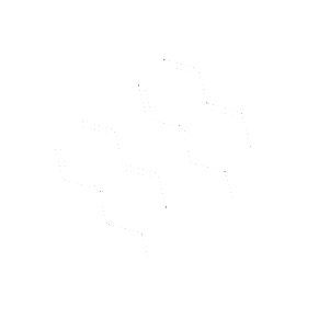 O.O=C(O)C1=CC=C2C=CC=CN2C1.O=C(O)C1=CC=C2C=CC=CN2C1